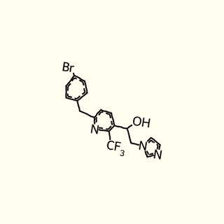 OC(Cn1ccnc1)c1ccc(Cc2ccc(Br)cc2)nc1C(F)(F)F